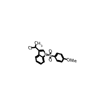 COc1ccc(S(=O)(=O)n2cc(C(C)Cl)c3ccccc32)cc1